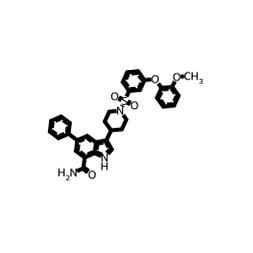 COc1ccccc1Oc1cccc(S(=O)(=O)N2CCC(c3c[nH]c4c(C(N)=O)cc(-c5ccccc5)cc34)CC2)c1